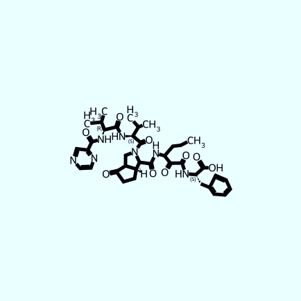 CCCC(NC(=O)C1[C@H]2CCC(=O)C2CN1C(=O)[C@@H](NC(=O)[C@H](NC(=O)c1cnccn1)C(C)C)C(C)C)C(=O)C(=O)N[C@@H](Cc1ccccc1)C(=O)O